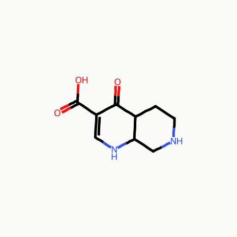 O=C(O)C1=CNC2CNCCC2C1=O